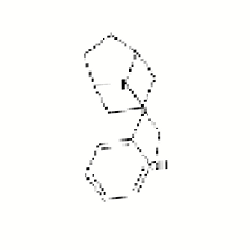 OCC1CC2CCC(C1)N2Cc1ccccc1